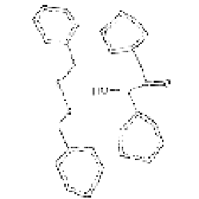 O=C(c1ccccc1)C(O)c1ccccc1.c1ccc(CSSCc2ccccc2)cc1